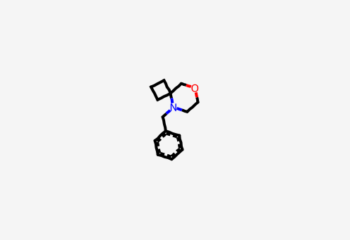 c1ccc(CN2CCOCC23CCC3)cc1